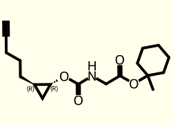 C#CCCC[C@@H]1C[C@H]1OC(=O)NCC(=O)OC1(C)CCCCC1